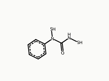 O=C(NS)N(S)c1ccccc1